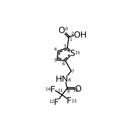 O=C(O)c1ccc(CNC(=O)C(F)(F)F)s1